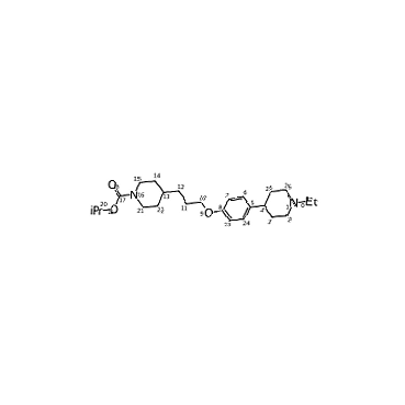 CCN1CCC(c2ccc(OCCCC3CCN(C(=O)OC(C)C)CC3)cc2)CC1